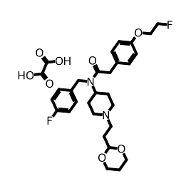 O=C(Cc1ccc(OCCF)cc1)N(Cc1ccc(F)cc1)C1CCN(CCC2OCCCO2)CC1.O=C(O)C(=O)O